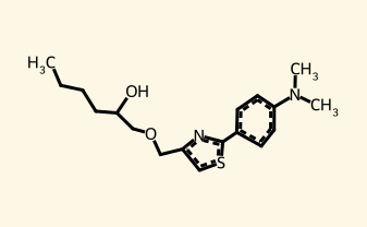 CCCCC(O)COCc1csc(-c2ccc(N(C)C)cc2)n1